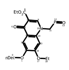 CCCCCCCCCCOc1cc2c(=O)c(C(=O)OCC)cn(CP=O)c2cc1OCC